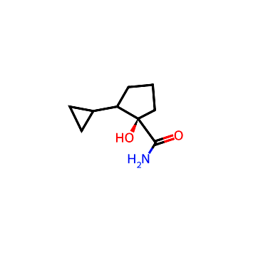 NC(=O)[C@@]1(O)CCCC1C1CC1